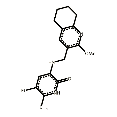 CCc1cc(NCc2cc3c(nc2OC)CCCC3)c(=O)[nH]c1C